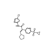 O=C(Nc1ncc(Cl)s1)/C(=C/C1CCCC1)c1ccc(S(=O)(=O)C2CC2)nc1